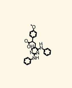 COc1ccc(C(Cc2cnc(Nc3ccccc3)nc2Nc2ccccc2)C(=O)O)cc1